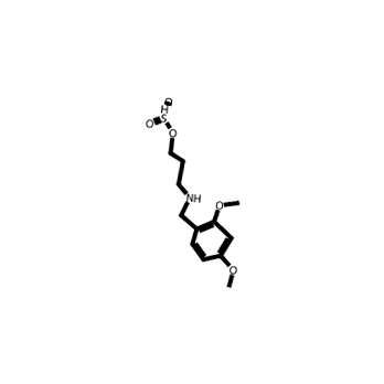 COc1ccc(CNCCCO[SH](=O)=O)c(OC)c1